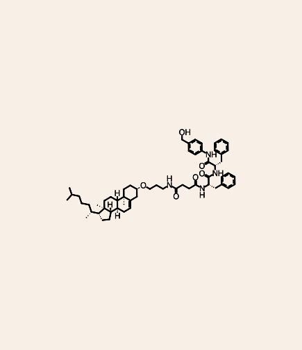 CC(C)CCC[C@@H](C)[C@H]1CC[C@H]2[C@@H]3CC=C4C[C@@H](OCCCNC(=O)CCC(=O)N[C@@H](Cc5ccccc5)C(=O)N[C@@H](Cc5ccccc5)C(=O)Nc5ccc(CO)cc5)CC[C@]4(C)[C@H]3CC[C@]12C